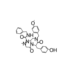 COc1ccc(CN2CC3N(C(=O)CN(C)N3C(=O)NCc3ccccc3)C(Cc3ccc(O)cc3)C2=O)cc1